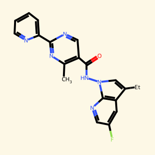 CCc1cn(NC(=O)c2cnc(-c3ccccn3)nc2C)c2ncc(F)cc12